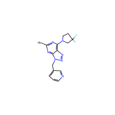 CC(C)(C)c1nc(N2CCC(F)(F)C2)c2nnn(Cc3cccnc3)c2n1